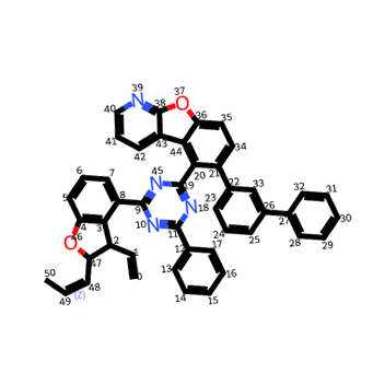 C=CC1c2c(cccc2-c2nc(-c3ccccc3)nc(-c3c(-c4cccc(-c5ccccc5)c4)ccc4oc5ncccc5c34)n2)OC1/C=C\C